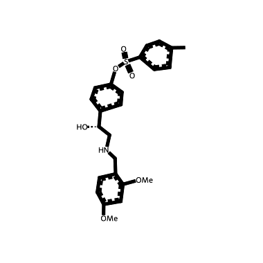 COc1ccc(CNC[C@H](O)c2ccc(OS(=O)(=O)c3ccc(C)cc3)cc2)c(OC)c1